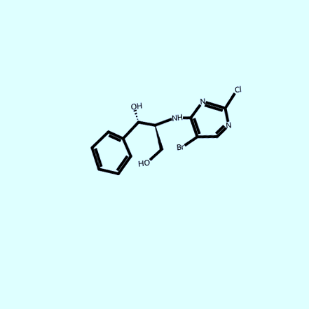 OC[C@H](Nc1nc(Cl)ncc1Br)[C@@H](O)c1ccccc1